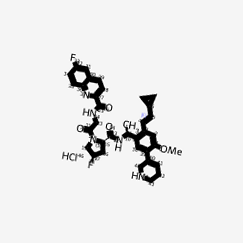 COc1cc(/C=C/C2CC2)c([C@H](C)NC(=O)[C@@H]2C[C@@H](F)CN2C(=O)CNC(=O)c2ccc3cc(F)ccc3n2)cc1C1=CCCNC1.Cl